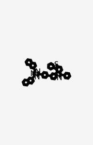 c1ccc(-c2nc3ccc(-c4ccc(-c5nc(-c6ccc7ccccc7c6)nc(-c6ccc7ccccc7c6)n5)cc4)cc3c3c2ccc2sc4ccccc4c23)cc1